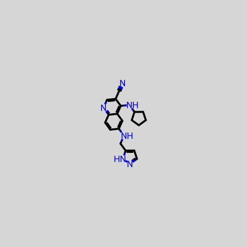 N#Cc1cnc2ccc(NCc3ccn[nH]3)cc2c1NC1CCCC1